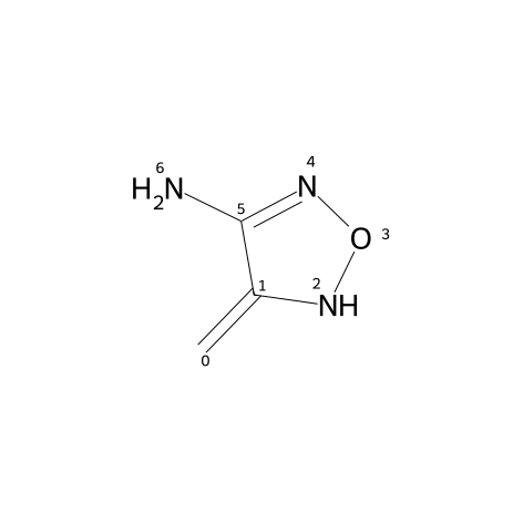 C=C1NON=C1N